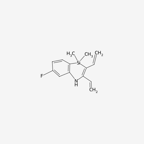 C=CC1=C(C=C)[Si](C)(C)c2ccc(F)cc2N1